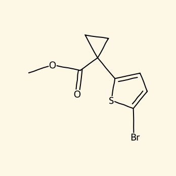 COC(=O)C1(c2ccc(Br)s2)CC1